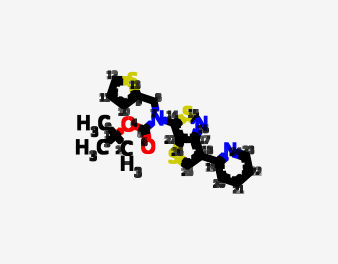 CC(C)(C)OC(=O)N(Cc1cccs1)c1snc2c(-c3ccccn3)csc12